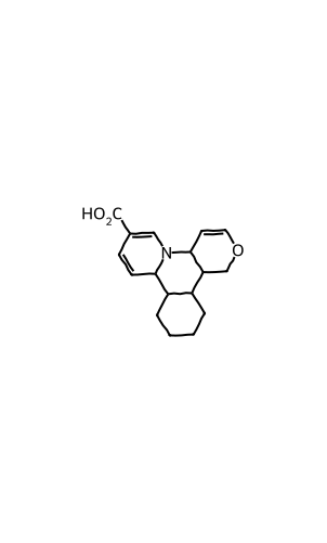 O=C(O)C1=CN2C(C=C1)C1CCCCC1C1COC=CC12